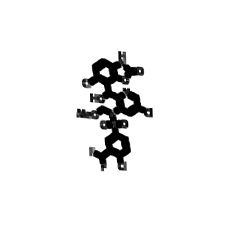 COCN(c1cc(Cl)cnc1C(O)c1c(Cl)ccc2[nH]c(=O)oc12)S(=O)(=O)c1ccc(Cl)c(C(F)F)c1